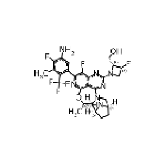 Cc1c(F)c(N)cc(-c2nc3c4c(nc(N5C[C@H](F)[C@H]5CO)nc4c2F)N2C[C@H]4CC[C@H](N4)[C@H]2[C@H](C)O3)c1C(F)(F)F